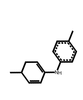 Cc1ccc(NC2=CCC(C)C=C2)cc1